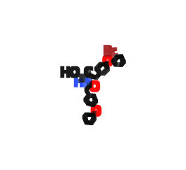 O=C(Cc1ccc(Oc2ccccc2)cc1)NC(=Cc1ccc(Oc2ccccc2Br)cc1)C(=O)O